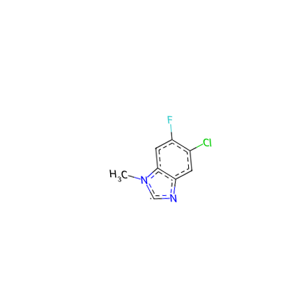 Cn1[c]nc2cc(Cl)c(F)cc21